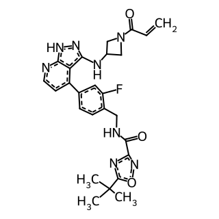 C=CC(=O)N1CC(Nc2n[nH]c3nccc(-c4ccc(CNC(=O)c5noc(C(C)(C)C)n5)c(F)c4)c23)C1